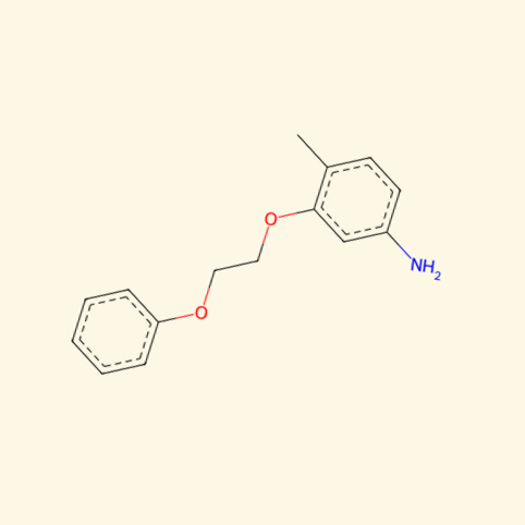 Cc1ccc(N)cc1OCCOc1ccccc1